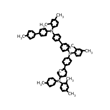 Cc1ccc(-c2ccc(N(c3ccc(-c4ccc(N(c5ccc(-c6ccc(N(c7ccc(C)cc7)c7ccc(C)cc7C)cc6)cc5)c5ccc(C)cc5C)cc4)cc3)c3ccc(C)cc3C)cc2)cc1